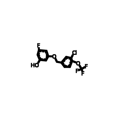 Oc1cc(F)cc(OCc2ccc(OC(F)(F)F)c(Cl)c2)c1